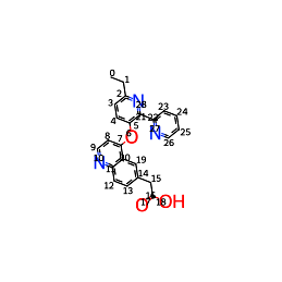 CCc1ccc(Oc2ccnc3ccc(CC(=O)O)cc23)c(-c2ccccn2)n1